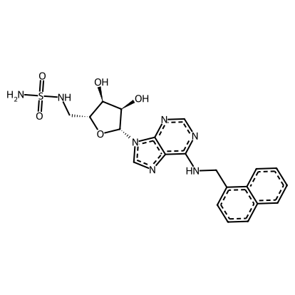 NS(=O)(=O)NC[C@H]1O[C@@H](n2cnc3c(NCc4cccc5ccccc45)ncnc32)[C@H](O)[C@@H]1O